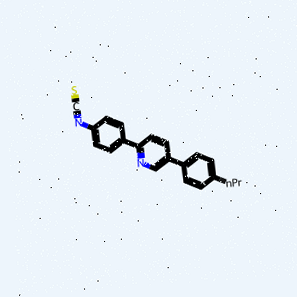 CCCc1ccc(-c2ccc(-c3ccc(N=C=S)cc3)nc2)cc1